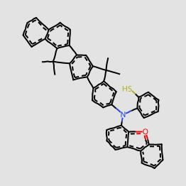 CC1(C)c2cc(N(c3ccccc3S)c3cccc4c3oc3ccccc34)ccc2-c2cc3c(cc21)-c1ccc2ccccc2c1C3(C)C